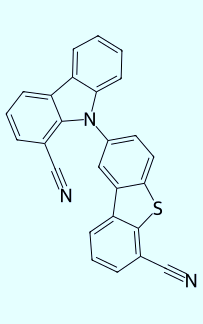 N#Cc1cccc2c1sc1ccc(-n3c4ccccc4c4cccc(C#N)c43)cc12